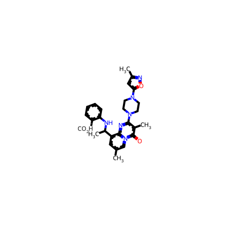 Cc1cc(C(C)Nc2ccccc2C(=O)O)c2nc(N3CCN(c4cc(C)no4)CC3)c(C)c(=O)n2c1